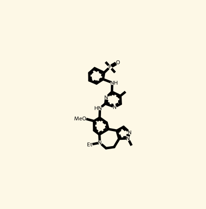 CCN1CCc2c(cnn2C)-c2cc(Nc3ncc(C)c(Nc4ccccc4P(C)(C)=O)n3)c(OC)cc21